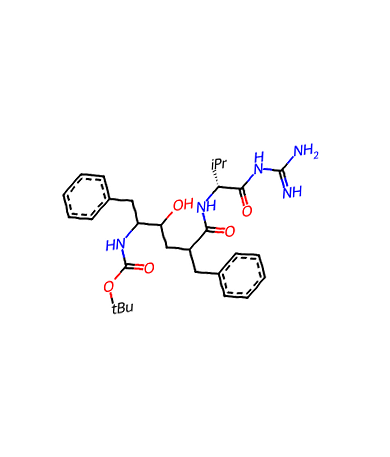 CC(C)[C@@H](NC(=O)C(Cc1ccccc1)CC(O)C(Cc1ccccc1)NC(=O)OC(C)(C)C)C(=O)NC(=N)N